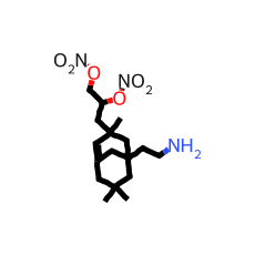 CC1(C)CC2=CC(C)(CC(CO[N+](=O)[O-])O[N+](=O)[O-])CC(CCN)(C2)C1